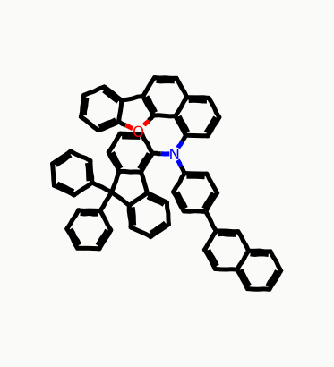 c1ccc(C2(c3ccccc3)c3ccccc3-c3c(N(c4ccc(-c5ccc6ccccc6c5)cc4)c4cccc5ccc6c7ccccc7oc6c45)cccc32)cc1